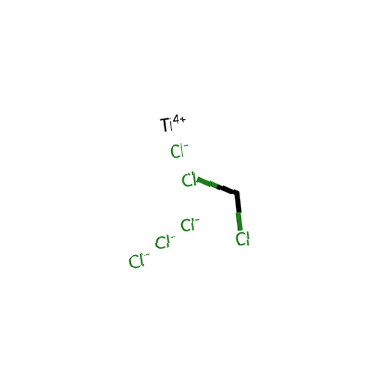 ClCCl.[Cl-].[Cl-].[Cl-].[Cl-].[Ti+4]